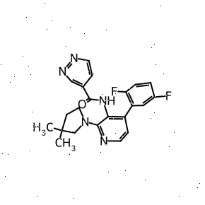 CC1(C)CCN(c2nccc(-c3cc(F)ccc3F)c2NC(=O)c2ccnnc2)C1